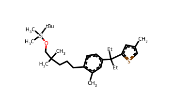 CCC(CC)(c1ccc(CCCC(C)(C)CO[Si](C)(C)C(C)(C)C)c(C)c1)c1cc(C)cs1